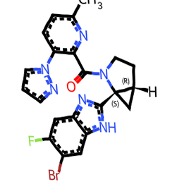 Cc1ccc(-n2cccn2)c(C(=O)N2CC[C@@H]3C[C@@]32c2nc3cc(F)c(Br)cc3[nH]2)n1